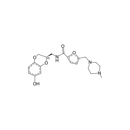 CN1CCN(Cc2ccc(C(=O)NC[C@@H]3COc4ccc(O)cc4O3)o2)CC1